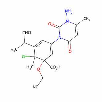 CC(C=O)C1=CC(n2c(=O)cc(C(F)(F)F)n(N)c2=O)=CC(OCC#N)(C(=O)O)C1(C)Cl